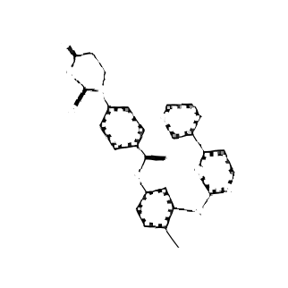 Cc1ccc(NC(=O)c2ccc(N3CCC(=O)NC3=O)cc2)cc1Nc1nccc(-c2cccnc2)n1